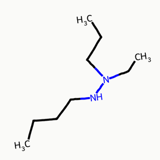 CCCCNN(CC)CCC